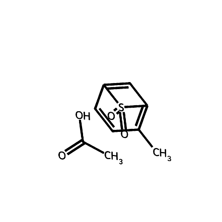 CC(=O)O.Cc1ccc2cc1S2(=O)=O